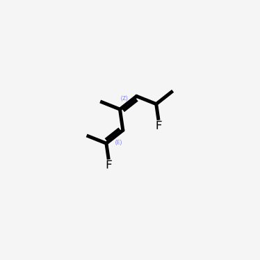 CC(=C/C(C)F)/C=C(\C)F